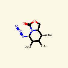 CC(=O)OC1C(OC(C)=O)[C@@H](N=[N+]=[N-])N2C(=O)OCC2[C@H]1OC(C)=O